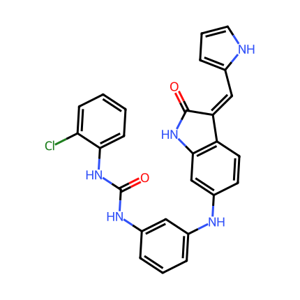 O=C(Nc1cccc(Nc2ccc3c(c2)NC(=O)/C3=C\c2ccc[nH]2)c1)Nc1ccccc1Cl